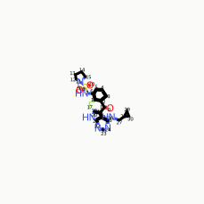 O=C(c1cccc(NS(=O)(=O)N2CCCC2)c1F)c1c[nH]c2ncnc(NCC3CC3)c12